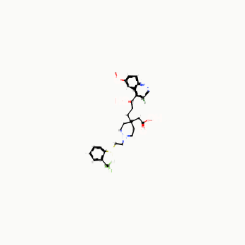 COc1ccc2ncc(Cl)c(C(O)CCC3(CC(=O)O)CCN(CCSc4ccccc4C(F)(F)F)CC3)c2c1